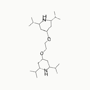 CC(C)C1CC(OCCOC2CC(C(C)C)NC(C(C)C)C2)CC(C(C)C)N1